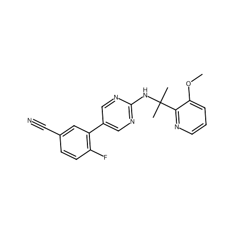 COc1cccnc1C(C)(C)Nc1ncc(-c2cc(C#N)ccc2F)cn1